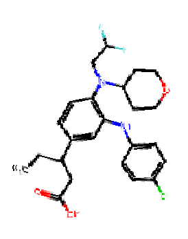 CCC(CC(=O)O)c1ccc(N(CC(F)F)C2CCOCC2)c(Nc2ccc(Cl)cc2)c1